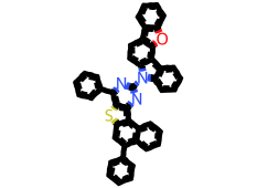 c1ccc(-c2cc3sc4c(-c5ccccc5)nc(-n5c6ccccc6c6c7oc8ccccc8c7ccc65)nc4c3c3ccccc23)cc1